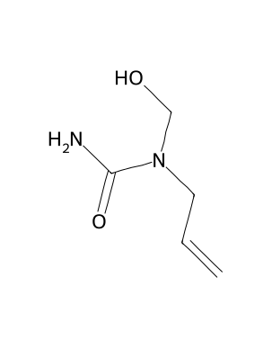 C=CCN(CO)C(N)=O